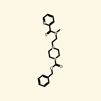 CN(CCN1CCN(C(=O)OCc2ccccc2)CC1)C(=S)c1ccccn1